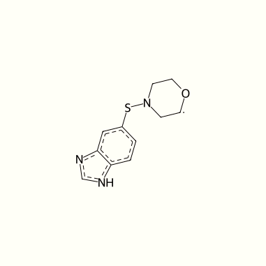 [CH]1CN(Sc2ccc3[nH]cnc3c2)CCO1